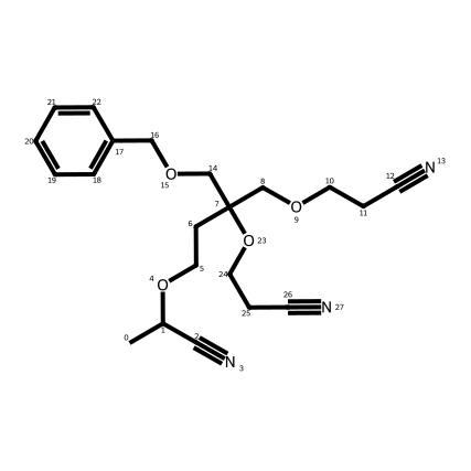 CC(C#N)OCCC(COCCC#N)(COCc1ccccc1)OCCC#N